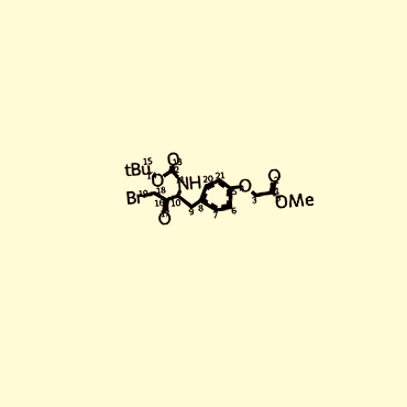 COC(=O)COc1ccc(CC(NC(=O)OC(C)(C)C)C(=O)CBr)cc1